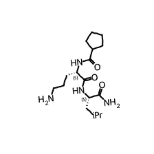 CC(C)C[C@H](NC(=O)[C@H](CCCN)NC(=O)C1CCCC1)C(N)=O